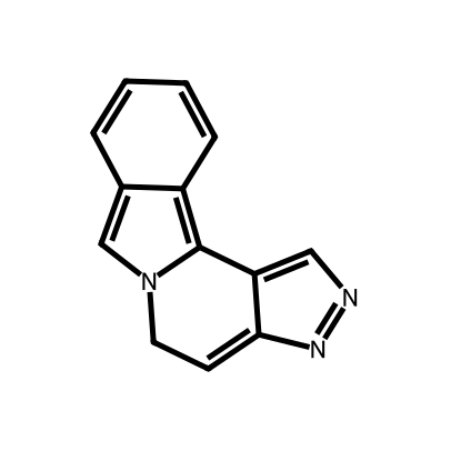 C1=C2N=NC=C2c2c3ccccc3cn2C1